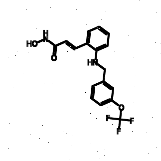 O=C(C=Cc1ccccc1NCc1cccc(OC(F)(F)F)c1)NO